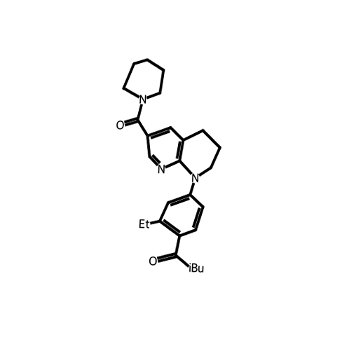 CCc1cc(N2CCCc3cc(C(=O)N4CCCCC4)cnc32)ccc1C(=O)C(C)CC